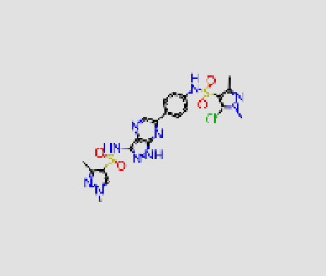 Cc1nn(C)cc1S(=O)(=O)Nc1n[nH]c2nc(-c3ccc(NS(=O)(=O)c4c(C)nn(C)c4Cl)cc3)cnc12